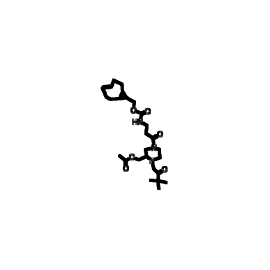 CC(=O)OCC1CN(C(=O)CCNC(=O)OCC2C3CC/C=C/CCC32)CCN1CC(=O)C(C)(C)C